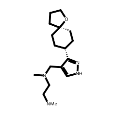 CNCCN(C)Cc1c[nH]nc1[C@H]1CC[C@@]2(CCCO2)CC1